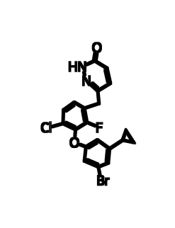 O=c1ccc(Cc2ccc(Cl)c(Oc3cc(Br)cc(C4CC4)c3)c2F)n[nH]1